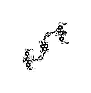 COc1ccc(-c2nc(C(=O)NCCCN3CCN(CCCN4C(=O)c5ccc6c7c(ccc(c57)C4=O)C(=O)N(CCCN4CCN(CCCNC(=O)c5nc(-c7ccc(OC)cc7)c7nonc7c5-c5ccc(OC)cc5)CC4)C6=O)CC3)c(-c3ccc(OC)cc3)c3nonc23)cc1